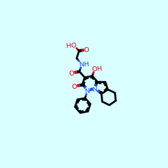 O=C(O)CNC(=O)c1c(O)c2cc3c(n2n(-c2ccccc2)c1=O)CCCC3